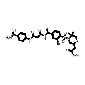 COC(=O)CC1CN(S(=O)(=O)c2ccc(C(C)NC(=O)CC(=O)Nc3ccc(C(=N)N)cc3)cc2Br)C(C)(C)CO1